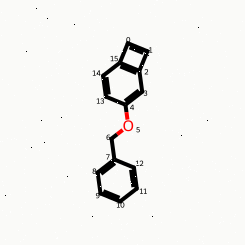 C1=Cc2cc(OCc3ccccc3)ccc21